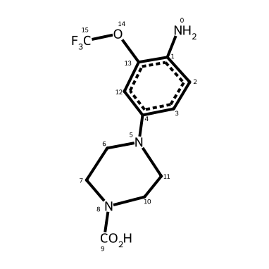 Nc1ccc(N2CCN(C(=O)O)CC2)cc1OC(F)(F)F